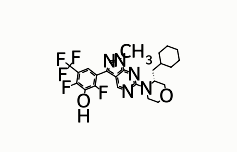 Cn1nc(-c2cc(C(F)(F)F)c(F)c(O)c2F)c2cnc(N3CCOC[C@H]3CC3CCCCC3)nc21